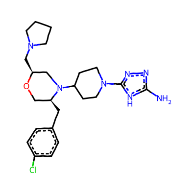 Nc1nnc(N2CCC(N3C[C@H](CN4CCCC4)OC[C@@H]3Cc3ccc(Cl)cc3)CC2)[nH]1